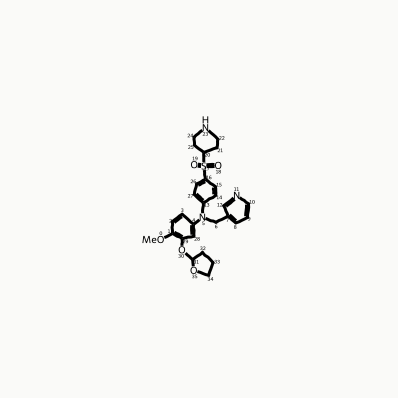 COc1ccc(N(Cc2cccnc2)c2ccc(S(=O)(=O)C3CCNCC3)cc2)cc1OC1CCCO1